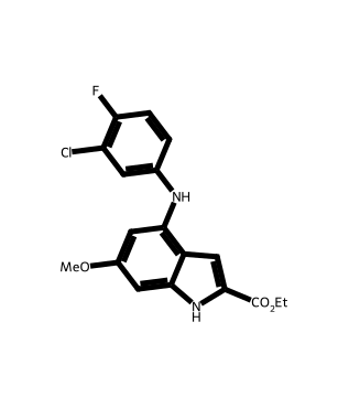 CCOC(=O)c1cc2c(Nc3ccc(F)c(Cl)c3)cc(OC)cc2[nH]1